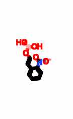 O=[N+]([O-])c1ccccc1/C=C/OB(O)O